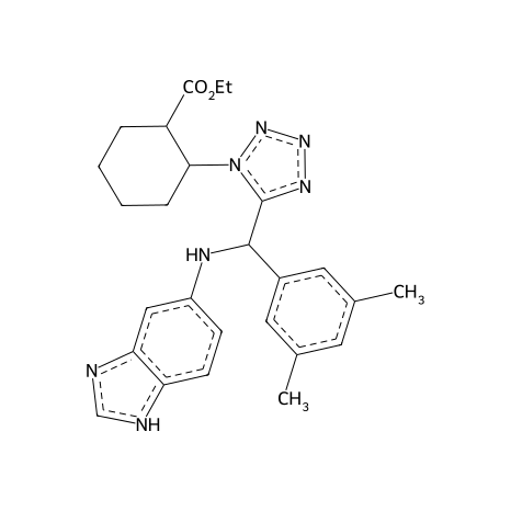 CCOC(=O)C1CCCCC1n1nnnc1C(Nc1ccc2[nH]cnc2c1)c1cc(C)cc(C)c1